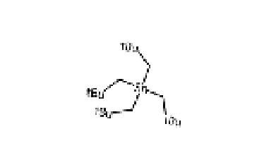 CC(C)(C)[CH2][Sn]([CH2]C(C)(C)C)([CH2]C(C)(C)C)[CH2]C(C)(C)C